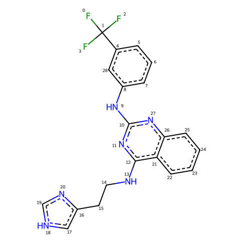 FC(F)(F)c1cccc(Nc2nc(NCCc3c[nH]cn3)c3ccccc3n2)c1